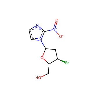 O=[N+]([O-])c1nccn1C1C[C@@H](Br)[C@@H](CO)O1